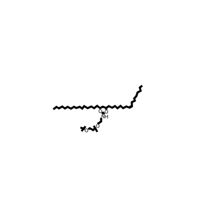 CCCCCCCC/C=C\CCCCCCCC(CCCCCCCCCCCCCCCCCC)OC(=O)NCCCOC(C)(C)CCOC(C)(C)C